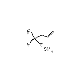 C=CCC(F)(F)F.[SiH4]